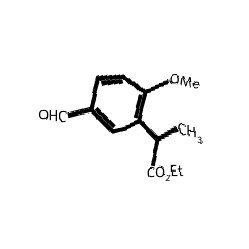 CCOC(=O)C(C)c1cc(C=O)ccc1OC